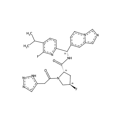 CC(C)c1ccc([C@@H](NC(=O)[C@@H]2C[C@@H](F)CN2C(=O)Cc2cnn[nH]2)c2ccn3cncc3c2)nc1F